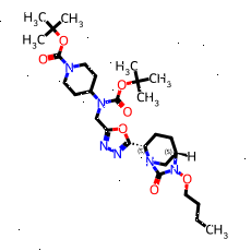 CCCCON1C(=O)N2C[C@@H]1CC[C@H]2c1nnc(CN(C(=O)OC(C)(C)C)C2CCN(C(=O)OC(C)(C)C)CC2)o1